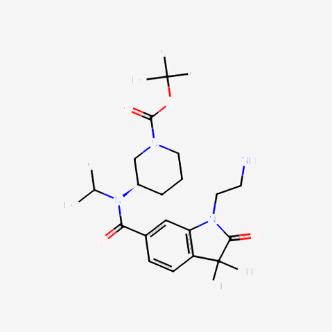 CC(C)N(C(=O)c1ccc2c(c1)N(CCN)C(=O)C2(C)C)[C@@H]1CCCN(C(=O)OC(C)(C)C)C1